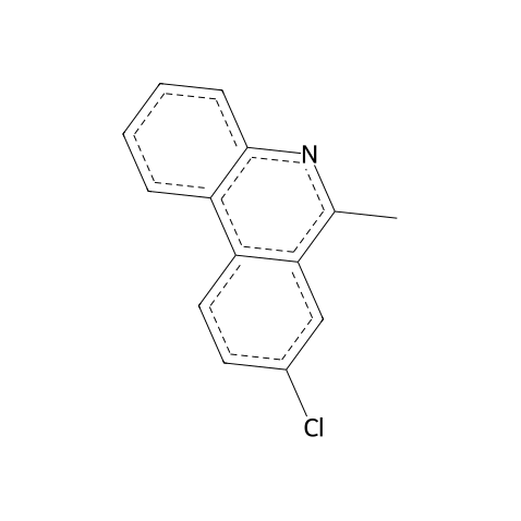 Cc1nc2ccccc2c2ccc(Cl)cc12